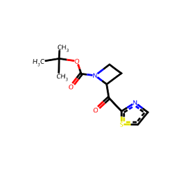 CC(C)(C)OC(=O)N1CCC1C(=O)c1nccs1